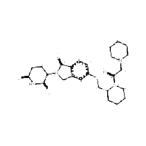 O=C1CCC(N2Cc3cc(OC[C@@H]4CCCCN4C(=O)CN4CCCCC4)ccc3C2=O)C(=O)N1